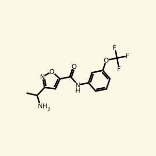 CC(N)c1cc(C(=O)Nc2cccc(OC(F)(F)F)c2)on1